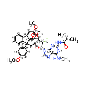 CNc1nc(NC(=O)C(C)C)nc2c1ncn2[C@@H]1O[C@@](CO)(CC(c2ccccc2)(c2ccc(OC)cc2)c2ccc(OC)cc2)[C@@H](C)[C@H]1F